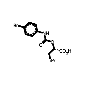 CC(C)C[C@H](OC(=O)Nc1ccc(Br)cc1)C(=O)O